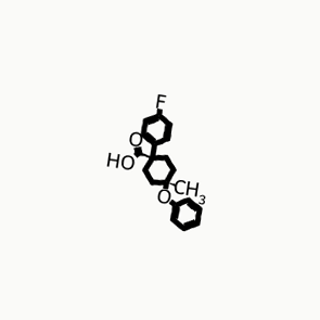 C[C@]1(Oc2ccccc2)CC[C@](C(=O)O)(c2ccc(F)cc2)CC1